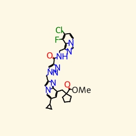 COC(=O)C1(Cc2cc(C3CC3)cn3cc(Cn4cc(C(=O)NCc5ncn6ccc(Cl)c(F)c56)nn4)nc23)CCCC1